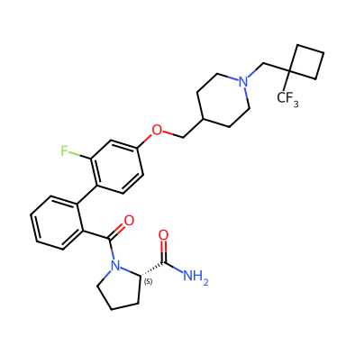 NC(=O)[C@@H]1CCCN1C(=O)c1ccccc1-c1ccc(OCC2CCN(CC3(C(F)(F)F)CCC3)CC2)cc1F